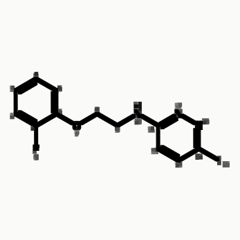 Fc1ccccc1OCCNc1ccc(I)nn1